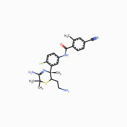 Cc1cc(C#N)ccc1C(=O)Nc1ccc(F)c([C@@]2(C)N=C(N)C(C)(C)SC2CCN)c1